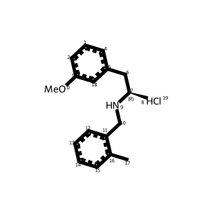 COc1cccc(C[C@@H](C)NCc2ccccc2C)c1.Cl